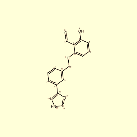 O=Cc1c(O)cccc1OCc1cccc(-c2nn[nH]n2)c1